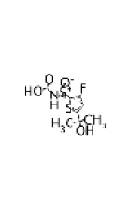 CC(C)(O)c1cc(F)c([S@+]([O-])NC(=O)O)s1